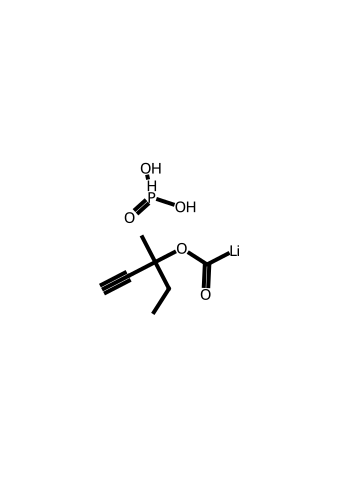 O=[PH](O)O.[Li][C](=O)OC(C)(C#C)CC